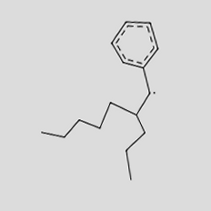 CCCCCC([CH]c1ccccc1)CCC